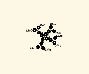 COc1ccc(N(c2ccc(OC)cc2)c2ccc3c(c2)sc2cc([B-](c4ccc5c(c4)sc4cc(N(c6ccc(OC)cc6)c6ccc(OC)cc6)ccc45)(c4ccc5c(c4)sc4cc(N(c6ccc(OC)cc6)c6ccc(OC)cc6)ccc45)c4ccc5c(c4)sc4cc(N(c6ccc(OC)cc6)c6ccc(OC)cc6)ccc45)ccc23)cc1